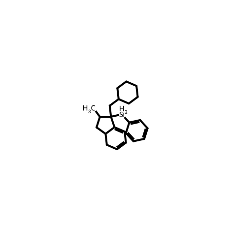 CC1CC2CC=CC=C2C1(CC1CCCCC1)[SiH2]c1ccccc1